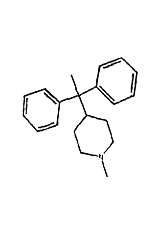 CN1CCC(C(C)(c2ccccc2)c2ccccc2)CC1